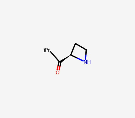 CC(C)C(=O)[C@H]1CCN1